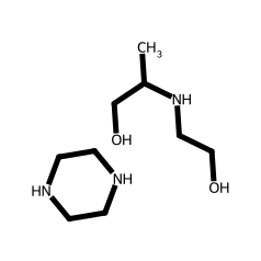 C1CNCCN1.CC(CO)NCCO